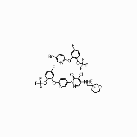 Fc1ccc(OC(F)(F)F)c(Oc2ccc(Br)cn2)c1.O=c1c(Cl)c(NC[C@@]2(F)CCCOC2)cnn1-c1ccc(Oc2cc(F)ccc2OC(F)(F)F)nc1